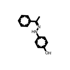 CC(=NNc1ccc(O)cc1)c1ccccc1